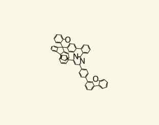 c1ccc(-c2cc(-c3ccc(-c4cccc5c4oc4ccccc45)cc3)nc(-c3ccccc3-c3ccc4c(c3)Oc3ccccc3C43c4ccccc4-c4ccccc43)n2)cc1